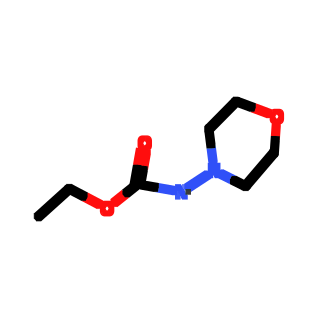 CCOC(=O)[N]N1CCOCC1